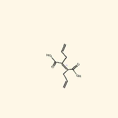 C=CC/C(C(=O)O)=C(/CC=C)C(=O)O